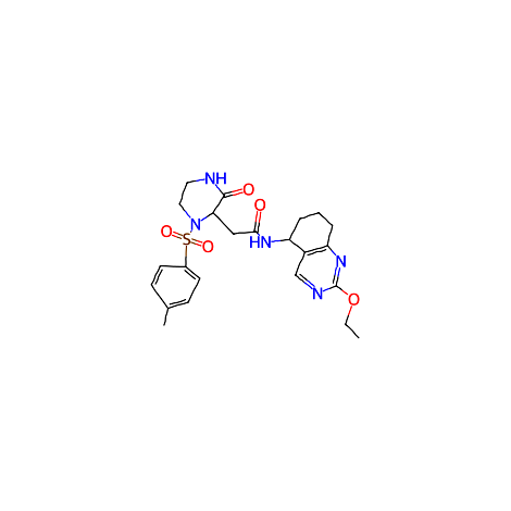 CCOc1ncc2c(n1)CCCC2NC(=O)CC1C(=O)NCCN1S(=O)(=O)c1ccc(C)cc1